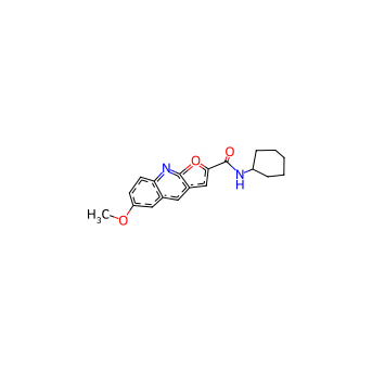 COc1ccc2nc3oc(C(=O)NC4CCCCC4)cc3cc2c1